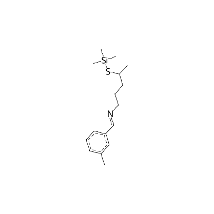 Cc1cccc(/C=N/CCCC(C)S[Si](C)(C)C)c1